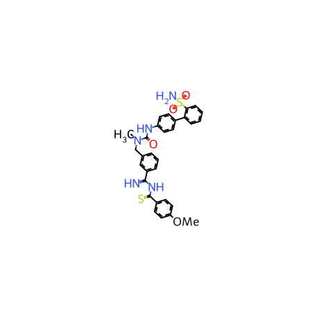 COc1ccc(C(=S)NC(=N)c2cccc(CN(C)C(=O)Nc3ccc(-c4ccccc4S(N)(=O)=O)cc3)c2)cc1